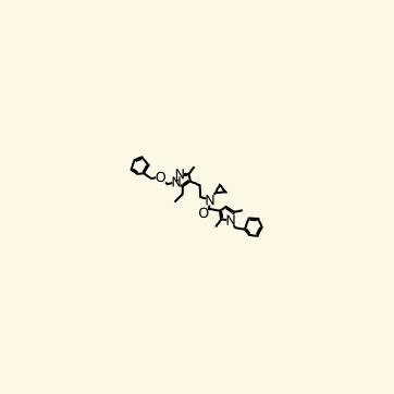 CCc1c(CCN(C(=O)c2cc(C)n(Cc3ccccc3)c2C)C2CC2)c(C)nn1COCc1ccccc1